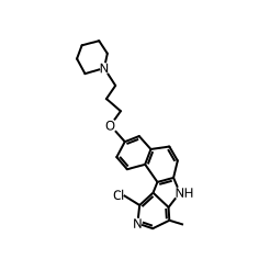 Cc1cnc(Cl)c2c1[nH]c1ccc3cc(OCCCN4CCCCC4)ccc3c12